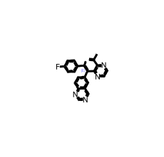 C=C(C)c1nccnc1/C(=C(\C)c1ccc(F)cc1)c1ccc2ncncc2c1